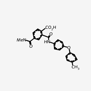 CNC(=O)c1ccc(C(=O)O)c(C(=O)Nc2ccc(Oc3ccc(C)cc3)cc2)c1